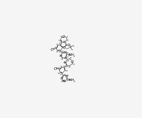 CC(C)(C)OC(=O)N1CCOCC=C1c1cc(Cl)cc(-c2nc[n+](C3COCCC(c4cc(Cl)cc(-c5ncnc(N)n5)c4)=N3)c(N)n2)c1